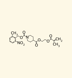 C=C(C)C(=O)OCCOC(=O)C1CCN(C(=O)OCc2c(C)cccc2[N+](=O)[O-])CC1